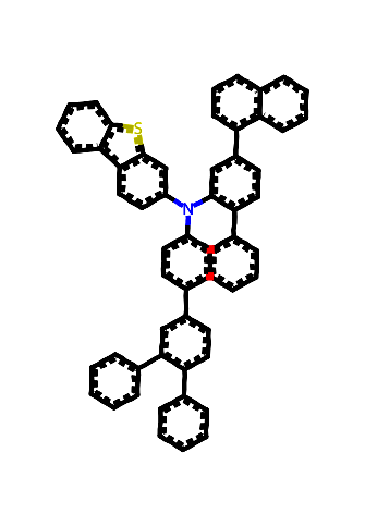 c1ccc(-c2ccc(-c3ccc(N(c4ccc5c(c4)sc4ccccc45)c4cc(-c5cccc6ccccc56)ccc4-c4ccccc4)cc3)cc2-c2ccccc2)cc1